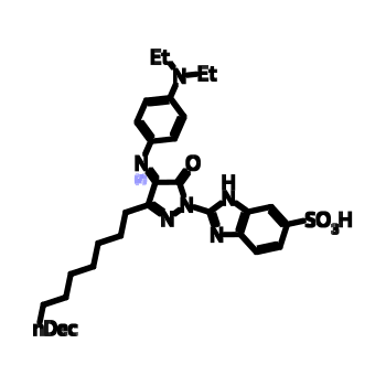 CCCCCCCCCCCCCCCCCC1=NN(c2nc3ccc(S(=O)(=O)O)cc3[nH]2)C(=O)/C1=N\c1ccc(N(CC)CC)cc1